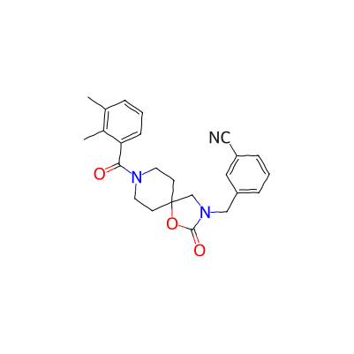 Cc1cccc(C(=O)N2CCC3(CC2)CN(Cc2cccc(C#N)c2)C(=O)O3)c1C